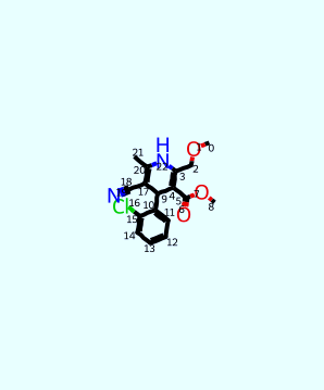 COCC1=C(C(=O)OC)C(c2ccccc2Cl)C(C#N)=C(C)N1